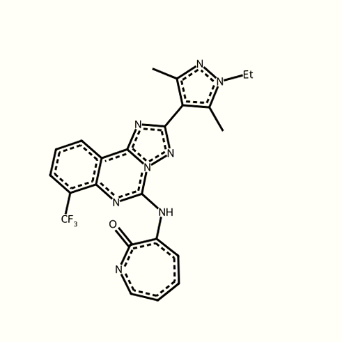 CCn1nc(C)c(-c2nc3c4cccc(C(F)(F)F)c4nc(Nc4ccccnc4=O)n3n2)c1C